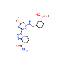 COc1cc(NCc2cccc(B(O)O)c2)nc(-c2nnc3c(C(N)=O)cccn23)n1